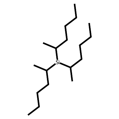 CCCCC(C)[Si](C(C)CCCC)C(C)CCCC